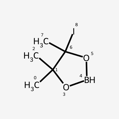 CC1(C)OBOC1(C)I